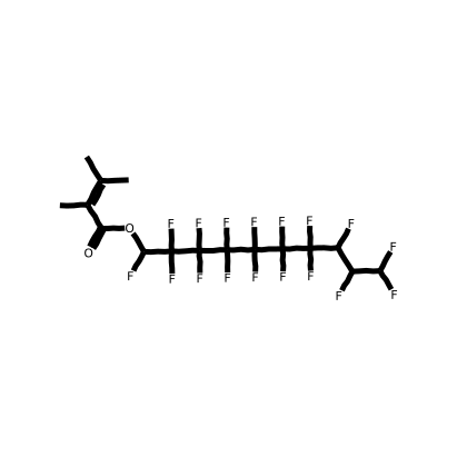 CC(C)=C(C)C(=O)OC(F)C(F)(F)C(F)(F)C(F)(F)C(F)(F)C(F)(F)C(F)(F)C(F)C(F)C(F)F